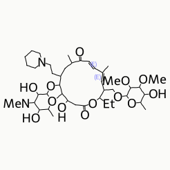 CCC1OC(=O)CC(O)C(C)C(OC2OC(C)C(O)C(NC)C2O)C(CCN2CCCCC2)CC(C)C(=O)/C=C/C(C)=C/C1COC1OC(C)C(O)C(OC)C1OC